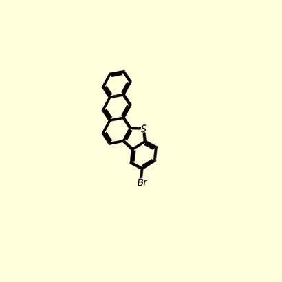 Brc1ccc2sc3c4cc5ccccc5cc4ccc3c2c1